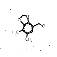 [CH2]c1cc(CCl)c2c(c1C)OCO2